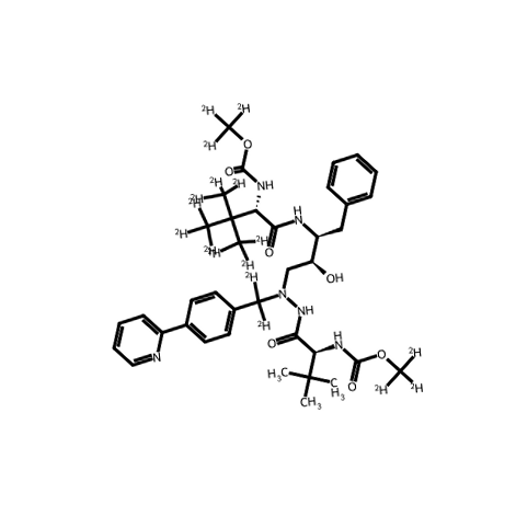 [2H]C([2H])([2H])OC(=O)N[C@H](C(=O)NN(C[C@H](O)[C@H](Cc1ccccc1)NC(=O)[C@@H](NC(=O)OC([2H])([2H])[2H])C(C([2H])([2H])[2H])(C([2H])([2H])[2H])C([2H])([2H])[2H])C([2H])([2H])c1ccc(-c2ccccn2)cc1)C(C)(C)C